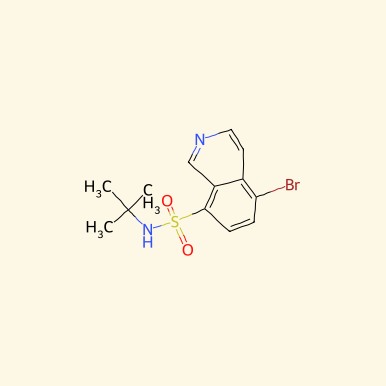 CC(C)(C)NS(=O)(=O)c1ccc(Br)c2ccncc12